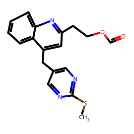 CSc1ncc(Cc2cc(CCOC=O)nc3ccccc23)cn1